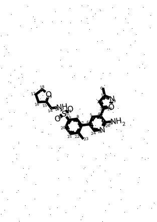 Cc1cc(-c2cc(-c3cc(S(=O)(=O)NCC4CCCO4)ccc3C)cnc2N)on1